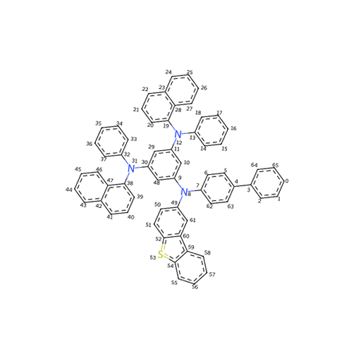 c1ccc(-c2ccc(N(c3cc(N(c4ccccc4)c4cccc5ccccc45)cc(N(c4ccccc4)c4cccc5ccccc45)c3)c3ccc4sc5ccccc5c4c3)cc2)cc1